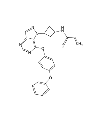 C=CC(=O)NC1CC(n2ncc3ncnc(Oc4ccc(Oc5ccccc5)cc4)c32)C1